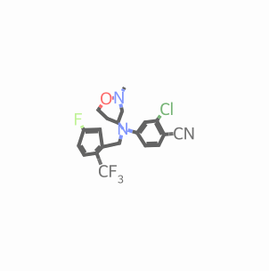 CN1C[C@@H](N(Cc2cc(F)ccc2C(F)(F)F)c2ccc(C#N)c(Cl)c2)CCO1